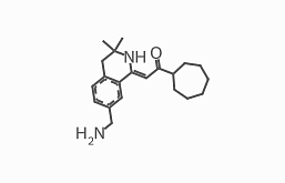 CC1(C)Cc2ccc(CN)cc2/C(=C/C(=O)C2CCCCCC2)N1